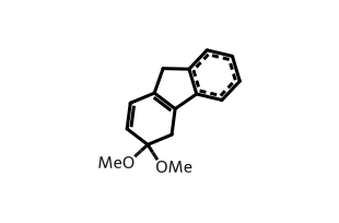 COC1(OC)C=CC2=C(C1)c1ccccc1C2